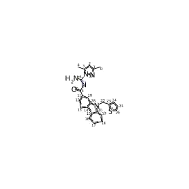 Cc1cc(C)n(/C(N)=N/C(=O)c2ccc3c4ccccc4n(Cc4cccs4)c3c2)n1